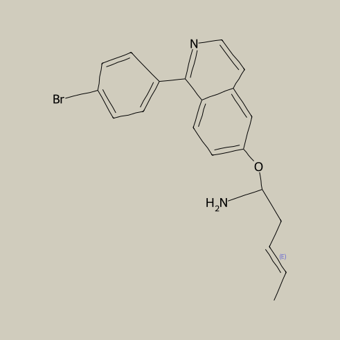 C/C=C/CC(N)Oc1ccc2c(-c3ccc(Br)cc3)nccc2c1